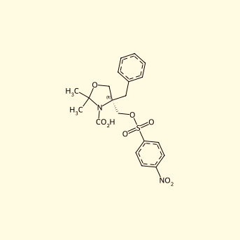 CC1(C)OC[C@@](COS(=O)(=O)c2ccc([N+](=O)[O-])cc2)(Cc2ccccc2)N1C(=O)O